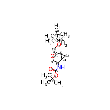 CC(C)(C)OC(=O)N[C@H]1CO[C@H](CO[Si](C)(C)C(C)(C)C)C2CC21